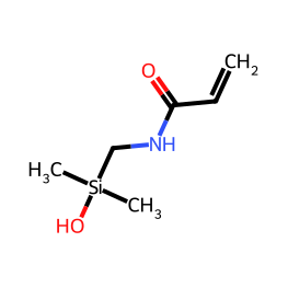 C=CC(=O)NC[Si](C)(C)O